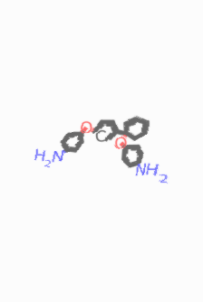 Nc1ccc(Oc2ccc(C3(Oc4ccc(N)cc4)C=CC=CC3)cc2)cc1